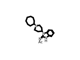 CC(=O)/N=c1\[nH]c2ccccc2n1C1CCN(C2CCCCCCC2)CC1